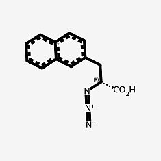 [N-]=[N+]=N[C@H](Cc1ccc2ccccc2c1)C(=O)O